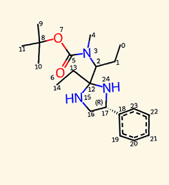 CCC(N(C)C(=O)OC(C)(C)C)C1(CC)NC[C@@H](c2ccccc2)N1